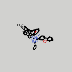 C=CC1=C(C=C)C2(c3ccccc31)c1ccccc1-c1ccc3c(c12)c1ccccc1n3-c1nc(-c2ccccc2)nc(-c2ccc3c(c2)oc2ccccc23)n1